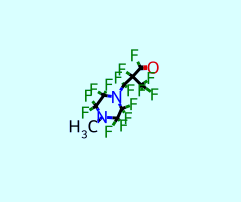 CN1C(F)(F)C(F)(F)N(C(F)(F)C(F)(C(=O)F)C(F)(F)F)C(F)(F)C1(F)F